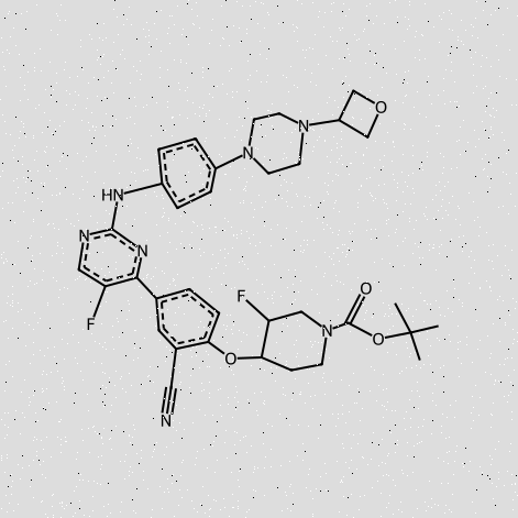 CC(C)(C)OC(=O)N1CCC(Oc2ccc(-c3nc(Nc4ccc(N5CCN(C6COC6)CC5)cc4)ncc3F)cc2C#N)C(F)C1